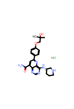 CC(O)(C#N)COc1ccc(-c2cc(C(N)=O)c3ncnc(N[C@H]4CCCNC4)c3n2)cc1.Cl